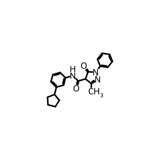 CC1=NN(c2ccccc2)C(=O)C1C(=O)Nc1cccc(C2CCCC2)c1